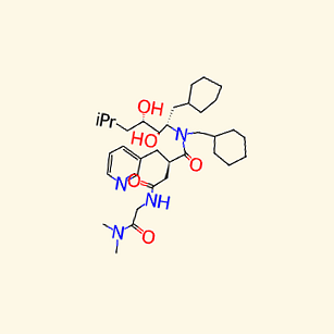 CC(C)C[C@H](O)[C@H](O)[C@H](CC1CCCCC1)N(CC1CCCCC1)C(=O)[C@@H](CC(=O)NCC(=O)N(C)C)Cc1cccnc1